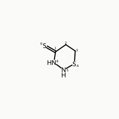 S=C1CCSNN1